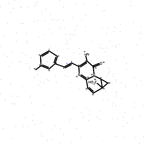 CCCc1c(/C=C/c2cccc(C)c2)nc2n(c1=O)C1CC1(C(=O)O)C=C2